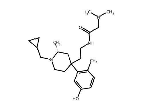 Cc1ccc(O)cc1C1(CCNC(=O)CN(C)C)CCN(CC2CC2)[C@H](C)C1